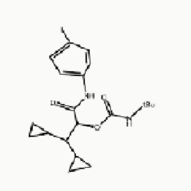 CC(C)(C)NC(=O)O[C@H](C(=O)Nc1ccc(I)cc1)C(C1CC1)C1CC1